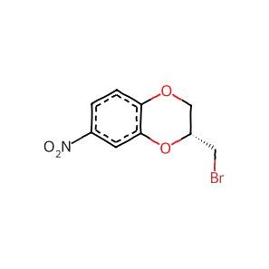 O=[N+]([O-])c1ccc2c(c1)O[C@@H](CBr)CO2